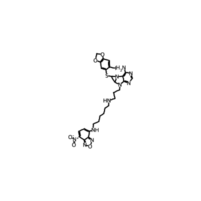 Nc1ncnc2c1N1C(Sc3cc4c(cc3I)OCO4)C1N2CCCNCCCCCCNc1ccc([N+](=O)[O-])c2nonc12